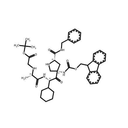 C[C@H](NCC(=O)OC(C)(C)C)C(=O)N[C@H](C(=O)[C@@]1(NC(=O)OCC2c3ccccc3-c3ccccc32)CN[C@H](C(=O)NCc2ccccc2)C1)C1CCCCC1